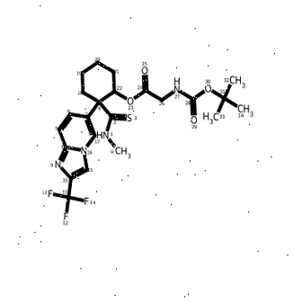 CNC(=S)C1(c2ccc3nc(C(F)(F)F)cn3c2)CCCCC1OC(=O)CNC(=O)OC(C)(C)C